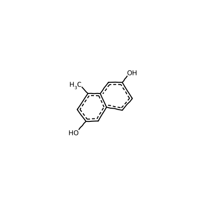 Cc1cc(O)cc2ccc(O)cc12